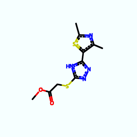 COC(=O)CSc1nnc(-c2sc(C)nc2C)[nH]1